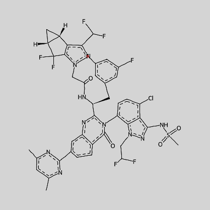 Cc1cc(C)nc(-c2ccc3c(=O)n(-c4ccc(Cl)c5c(NS(C)(=O)=O)nn(CC(F)F)c45)c([C@H](Cc4cc(F)cc(F)c4)NC(=O)Cn4nc(C(F)F)c5c4C(F)(F)[C@@H]4C[C@H]54)nc3c2)n1